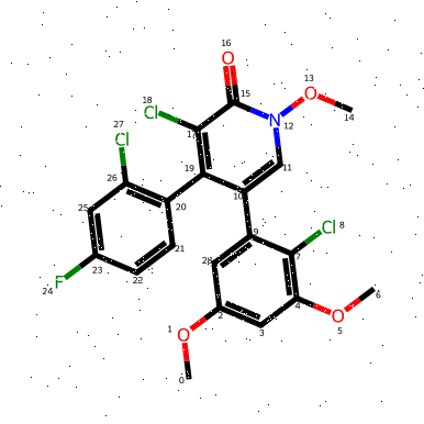 COc1cc(OC)c(Cl)c(-c2cn(OC)c(=O)c(Cl)c2-c2ccc(F)cc2Cl)c1